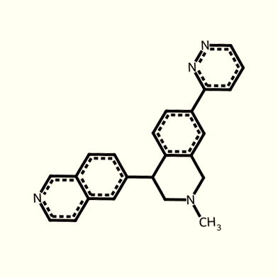 CN1Cc2cc(-c3cccnn3)ccc2C(c2ccc3cnccc3c2)C1